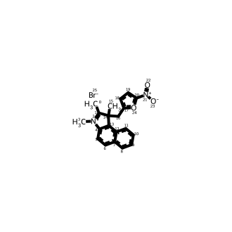 CC1=[N+](C)c2ccc3ccccc3c2C1(C)Cc1ccc([N+](=O)[O-])o1.[Br-]